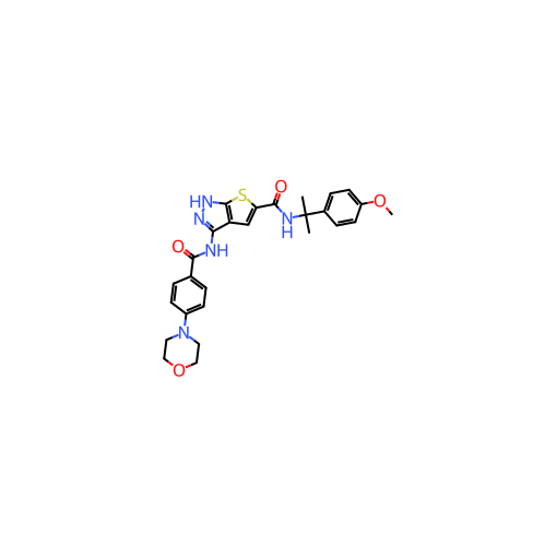 COc1ccc(C(C)(C)NC(=O)c2cc3c(NC(=O)c4ccc(N5CCOCC5)cc4)n[nH]c3s2)cc1